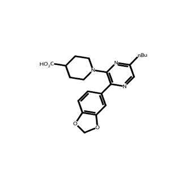 CCCCc1cnc(-c2ccc3c(c2)OCO3)c(N2CCC(C(=O)O)CC2)n1